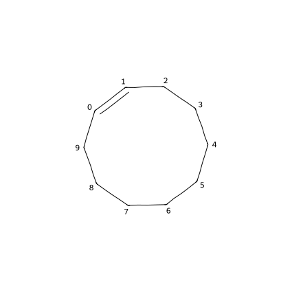 C1=CCCCCCCCC1